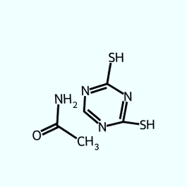 CC(N)=O.Sc1ncnc(S)n1